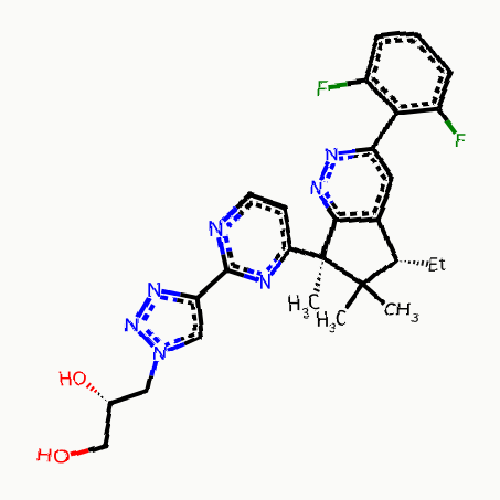 CC[C@H]1c2cc(-c3c(F)cccc3F)nnc2[C@](C)(c2ccnc(-c3cn(C[C@@H](O)CO)nn3)n2)C1(C)C